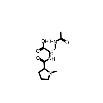 CC(=O)NC[C@H](NC(=O)C1CCCN1C)C(=O)O